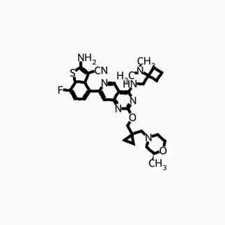 C[C@@H]1CN(CC2(COc3nc(NCC4(N(C)C)CCC4)c4cnc(C5=CC=C(F)C6SC(N)=C(C#N)C56)cc4n3)CC2)CCO1